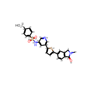 CN1Cc2cc(-c3ccc(-c4cncc(NS(=O)(=O)c5ccc(C(=O)O)cc5)c4)s3)ccc2C1=O